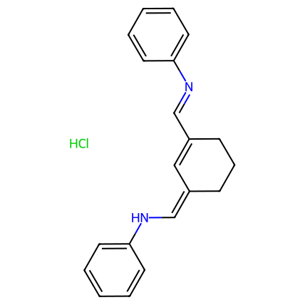 C(=Nc1ccccc1)C1=CC(=CNc2ccccc2)CCC1.Cl